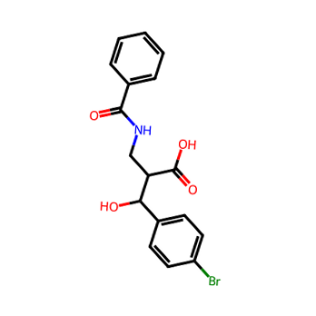 O=C(NCC(C(=O)O)C(O)c1ccc(Br)cc1)c1ccccc1